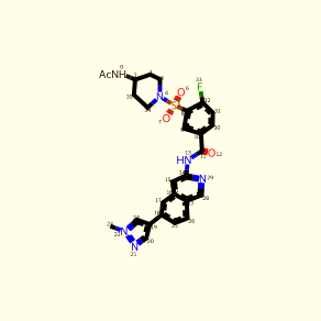 CC(=O)NC1CCN(S(=O)(=O)c2cc(C(=O)Nc3cc4cc(-c5cnn(C)c5)ccc4cn3)ccc2F)CC1